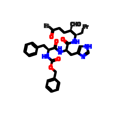 CCC(=O)CC[C@H](C=O)[C@H](CC(C)C)NC(=O)[C@@H](Cc1c[nH]cn1)NC(=O)[C@H](Cc1ccccc1)NC(=O)OCc1ccccc1